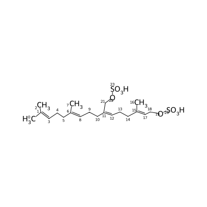 CC(C)=CCC/C(C)=C/CC/C(=C/CC/C(C)=C/COS(=O)(=O)O)COS(=O)(=O)O